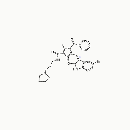 Cc1c(C(=O)NCCCN2CCCC2)[nH]c(/C=C2\C(=O)Nc3ccc(Br)cc32)c1C(=O)c1ccccc1